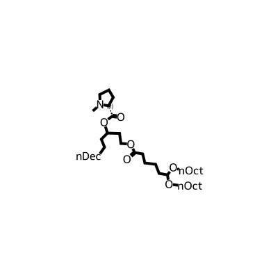 CCCCCCCCCCCCC(CCOC(=O)CCCCC(OCCCCCCCC)OCCCCCCCC)OC(=O)[C@H]1CCCN1C